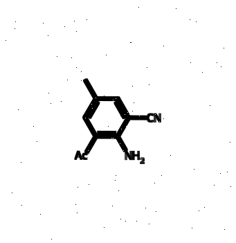 CC(=O)c1cc(C)cc(C#N)c1N